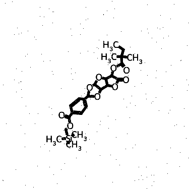 CCC(C)(C)C(=O)OC1C(=O)OC2C3OC(c4ccc(C(=O)OC[Si](C)(C)C)cc4)OC3OC12